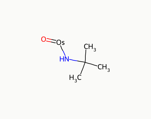 CC(C)(C)[NH][Os]=[O]